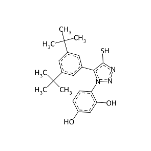 CC(C)(C)c1cc(-c2c(S)nnn2-c2ccc(O)cc2O)cc(C(C)(C)C)c1